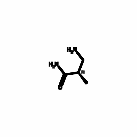 C[C@H](CN)C(N)=O